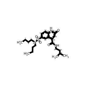 CCCCN(CCCC)S(=O)(=O)c1ccc2[nH]c(=O)cc(C(=O)NCCC(C)C)c2c1